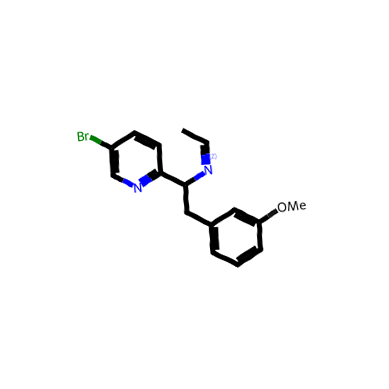 C/C=N\C(Cc1cccc(OC)c1)c1ccc(Br)cn1